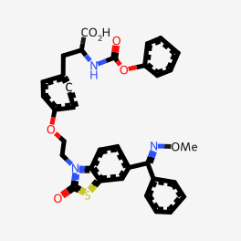 CO/N=C(\c1ccccc1)c1ccc2c(c1)sc(=O)n2CCOc1ccc(CC(NC(=O)Oc2ccccc2)C(=O)O)cc1